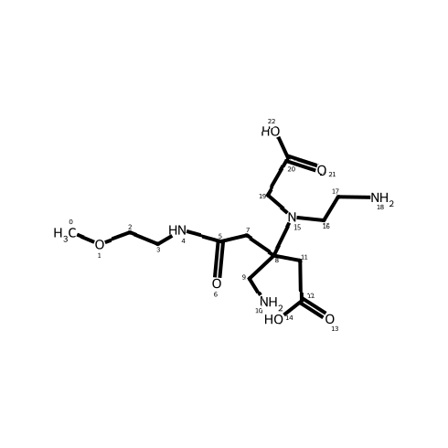 COCCNC(=O)CC(CN)(CC(=O)O)N(CCN)CC(=O)O